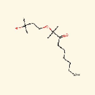 CCCCCCCCCCCCCCCC(=O)C(C)(C)OCCC(C)(C)O